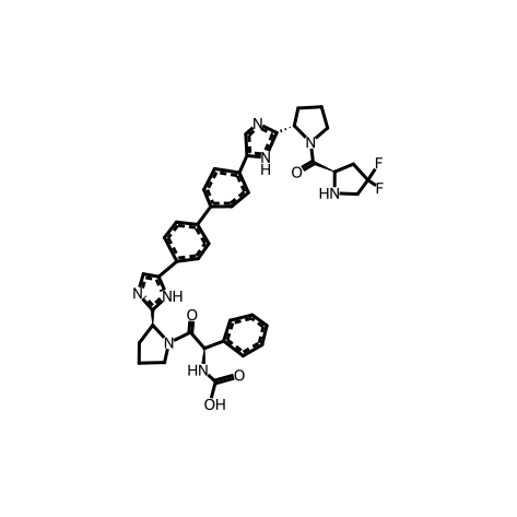 O=C(O)N[C@@H](C(=O)N1CCC[C@H]1c1ncc(-c2ccc(-c3ccc(-c4cnc([C@@H]5CCCN5C(=O)[C@H]5CC(F)(F)CN5)[nH]4)cc3)cc2)[nH]1)c1ccccc1